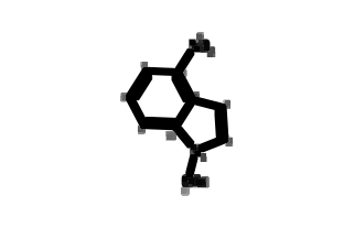 CC(=O)On1ccc2c([N+](=O)[O-])cccc21